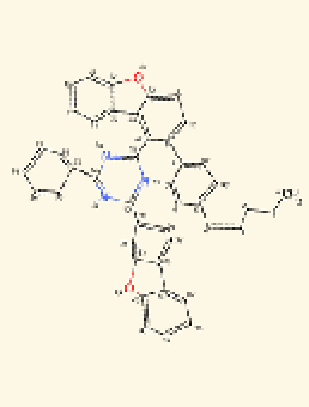 CCC/C=C\c1ccc(-c2ccc3oc4ccccc4c3c2-c2nc(-c3ccccc3)nc(-c3ccc4c(c3)oc3ccccc34)n2)cc1